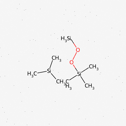 C[Si](C)(C)OO[SiH3].C[Si](C)C